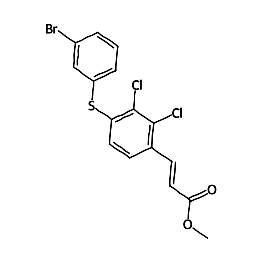 COC(=O)C=Cc1ccc(Sc2cccc(Br)c2)c(Cl)c1Cl